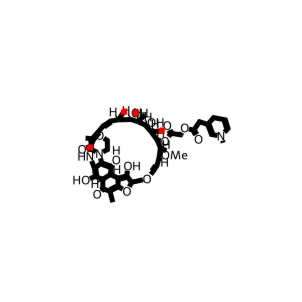 CO[C@@H]1/C=C\O[C@@]2(C)OC3=C(C)C(=O)[C@H]4C(O)=C(NC(=O)/C(C)=C\C=C/[C@@H](C)[C@@H](O)[C@@H](C)[C@@H](O)[C@H](C)[C@H](OC(=O)COC(=O)CC5=CN(C)C=CC5)[C@H]1C)C(N1CCOCC1)=C(O)[C@H]4C3=C2O